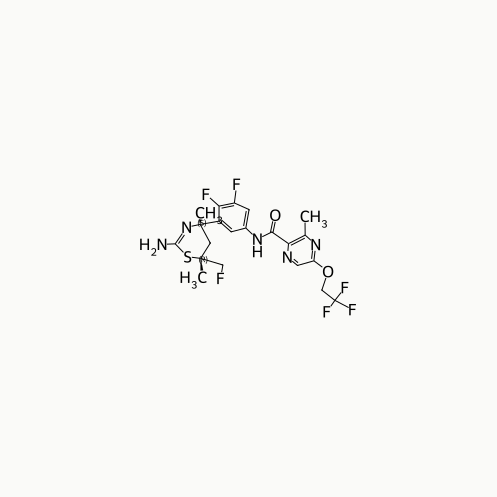 Cc1nc(OCC(F)(F)F)cnc1C(=O)Nc1cc(F)c(F)c([C@]2(C)C[C@](C)(CF)SC(N)=N2)c1